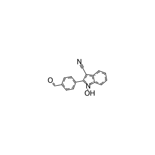 N#Cc1c(-c2ccc(C=O)cc2)n(O)c2ccccc12